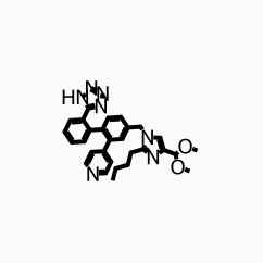 CCCCc1nc(C(OC)OC)cn1Cc1ccc(-c2ccccc2-c2nnn[nH]2)c(-c2ccncc2)c1